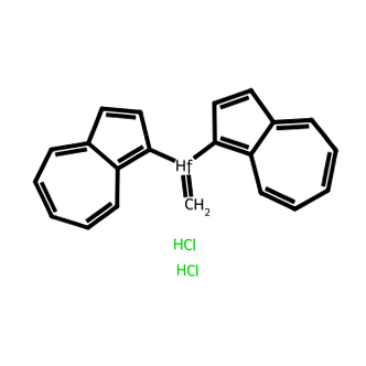 Cl.Cl.[CH2]=[Hf]([c]1ccc2cccccc1-2)[c]1ccc2cccccc1-2